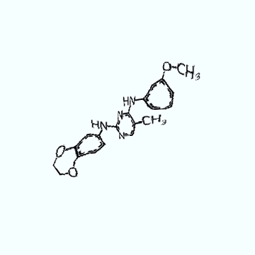 COc1cccc(Nc2nc(Nc3ccc4c(c3)OCCO4)ncc2C)c1